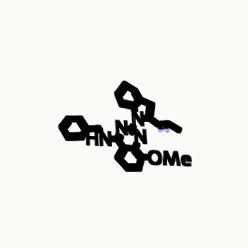 C/C=C/c1cc2ccccc2n1-c1nc(NCc2ccccc2)c2cccc(OC)c2n1